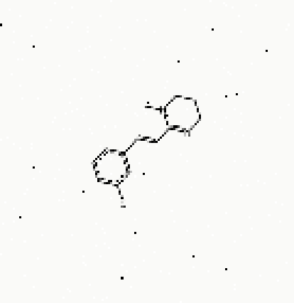 CN1CCCN=C1C=Cc1cccc(O)c1